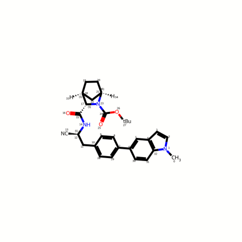 Cn1ccc2cc(-c3ccc(C[C@@H](C#N)NC(=O)[C@@H]4[C@H]5CC[C@H](C5)N4C(=O)OC(C)(C)C)cc3)ccc21